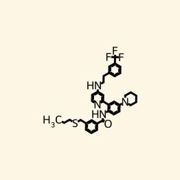 CCCSCc1cccc(C(=O)Nc2ccc(N3CCCCC3)cc2-c2cc(NCCc3cccc(C(F)(F)F)c3)ccn2)c1